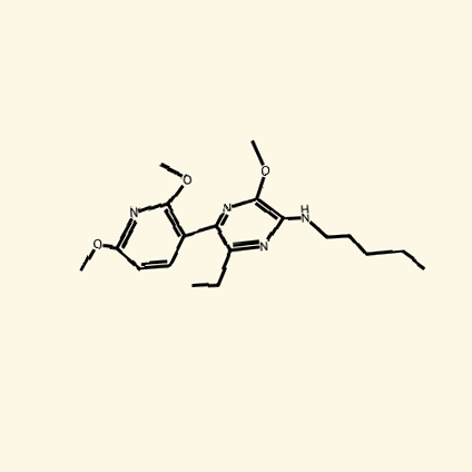 CCCCCNc1nc(CC)c(-c2ccc(OC)nc2OC)nc1OC